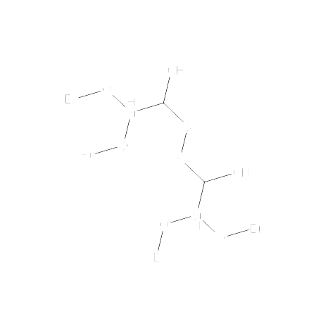 CCO[SiH](OCC)C(C)SSC(C)[SiH](OCC)OCC